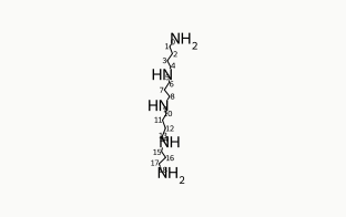 NCCCCNCCCNCCCCNCCCN